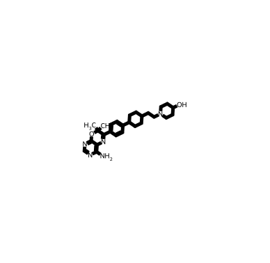 CC1(C)Oc2ncnc(N)c2N=C1c1ccc(C2CCC(CCN3CCC(O)CC3)CC2)cc1